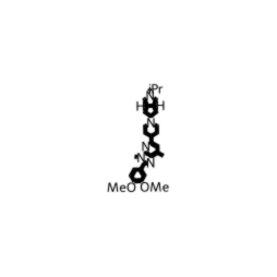 COc1ccc(-c2nc3c(C)cc(C4CCN(C5C[C@@H]6CN(C(C)C)C[C@@H]6C5)CC4)nc3n2C)cc1OC